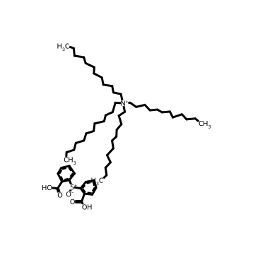 CCCCCCCCCCCC[N+](CCCCCCCCCCCC)(CCCCCCCCCCCC)CCCCCCCCCCCC.O=C(O)c1ccccc1[S+]([O-])c1ccccc1C(=O)O